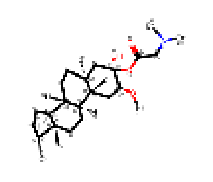 CCO[C@H]1C[C@@]2(C)[C@@H](CC[C@@H]3[C@@H]2CC[C@]2(C)[C@@H](C(C)=O)CC[C@@H]32)C[C@@]1(O)OC(=O)CN(CC)CC